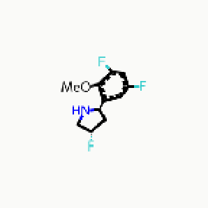 COc1c(F)cc(F)cc1[C@H]1C[C@H](F)CN1